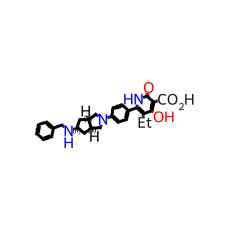 CCc1c(-c2ccc(N3C[C@H]4C[C@@H](NCc5ccccc5)C[C@H]4C3)cc2)[nH]c(=O)c(C(=O)O)c1O